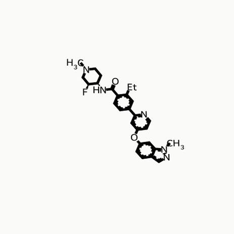 CCc1cc(-c2cc(Oc3ccc4cnn(C)c4c3)ccn2)ccc1C(=O)N[C@H]1CCN(C)C[C@@H]1F